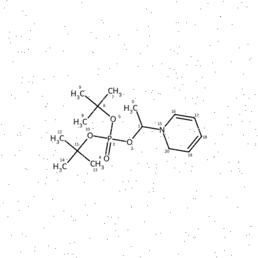 CC(OP(=O)(OC(C)(C)C)OC(C)(C)C)N1C=CC=CC1